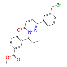 CCC(c1cccc(C(=O)OC)c1)n1nc(-c2cccc(CBr)c2)ccc1=O